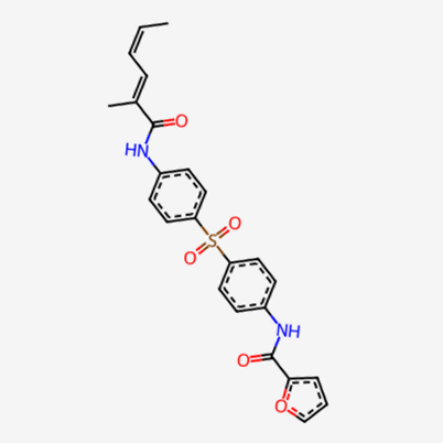 C/C=C\C=C(/C)C(=O)Nc1ccc(S(=O)(=O)c2ccc(NC(=O)c3ccco3)cc2)cc1